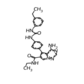 CCNC(=O)c1cn2ncnc(N)c2c1-c1ccc(NC(=O)Nc2cccc(CC)c2)cc1